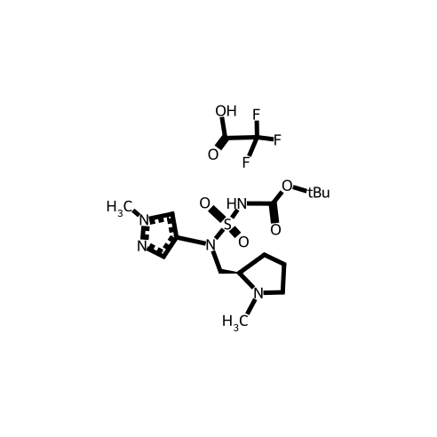 CN1CCC[C@@H]1CN(c1cnn(C)c1)S(=O)(=O)NC(=O)OC(C)(C)C.O=C(O)C(F)(F)F